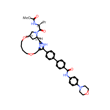 COC(=O)N[C@H](C(=O)N1C[C@@H]2C[C@H]1c1nc(c(-c3ccc(-c4ccc(C(=O)Nc5ccc(N6CCOCC6)cc5)cc4)cc3)[nH]1)COCCCCO2)C(C)C